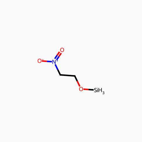 O=[N+]([O-])CCO[SiH3]